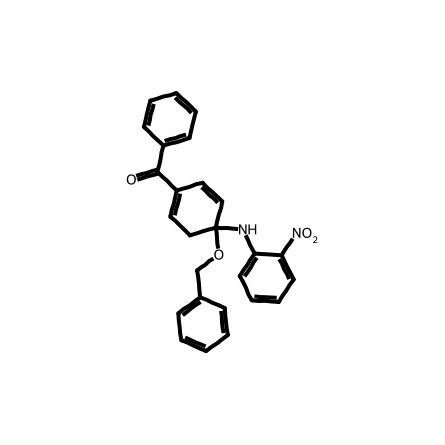 O=C(C1=CCC(Nc2ccccc2[N+](=O)[O-])(OCc2ccccc2)C=C1)c1ccccc1